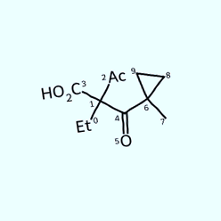 CCC(C(C)=O)(C(=O)O)C(=O)C1(C)CC1